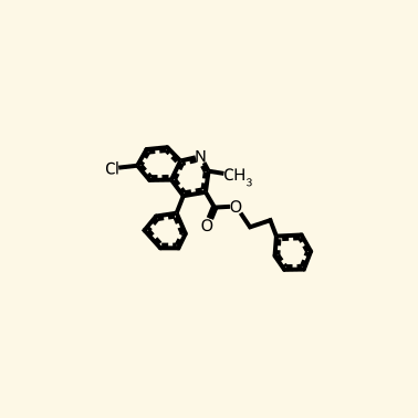 Cc1nc2ccc(Cl)cc2c(-c2ccccc2)c1C(=O)OCCc1ccccc1